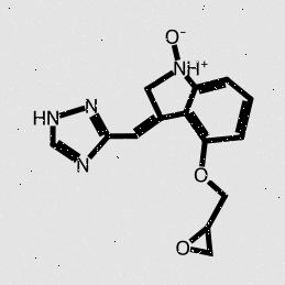 [O-][NH+]1CC(=Cc2nc[nH]n2)c2c(OCC3CO3)cccc21